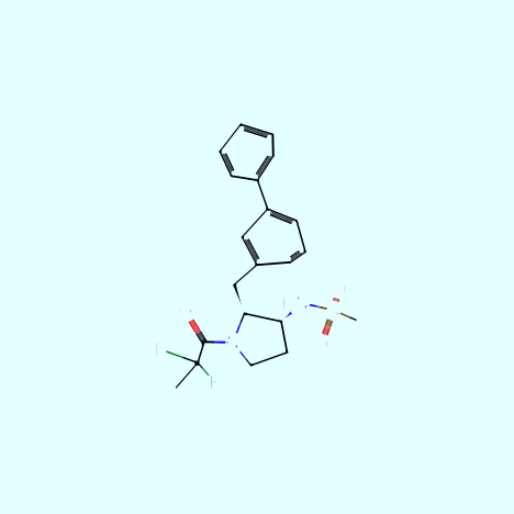 CC(F)(F)C(=O)N1CC[C@H](NS(C)(=O)=O)[C@@H]1Cc1cccc(-c2ccccc2)c1